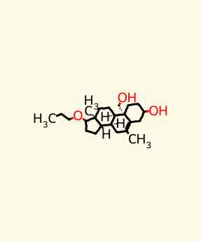 CCCOC1CC[C@H]2[C@@H]3CC(C)=C4CC(O)CC[C@]4(CO)[C@@H]3CC[C@]12C